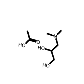 CC(=O)O.CN(C)CC(O)CO